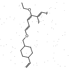 C=CC1CCC(CO/C=C/C=C(OCC)\C(F)=C\F)CC1